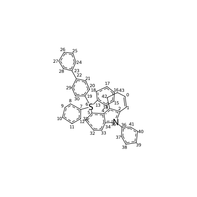 C1=Cc2c(c3c(S(c4ccccc4)(c4ccccc4)c4ccc(-c5ccccc5)cc4)cccc3n2-c2ccccc2)CC1